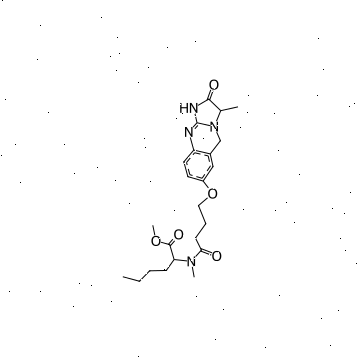 CCCCC(C(=O)OC)N(C)C(=O)CCCOc1ccc2c(c1)CN1C(=N2)NC(=O)C1C